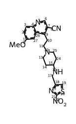 COc1ccc2ncc(C#N)c(CCN3CCC(NCc4csc([N+](=O)[O-])n4)CC3)c2c1